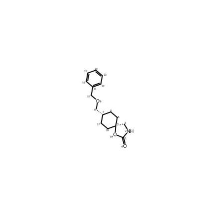 O=C1NC[C@]2(CC[C@@H](COCc3ccccc3)CC2)O1